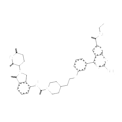 CCNC(=O)c1cc2c(-c3cccc(OCCC4CCN(C(=O)Nc5cccc6c5CN(C5CCC(=O)NC5=O)C6=O)CC4)c3)nc(N)nc2s1